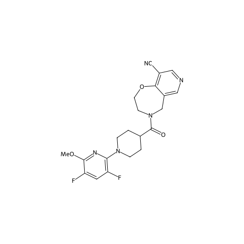 COc1nc(N2CCC(C(=O)N3CCOc4c(C#N)cncc4C3)CC2)c(F)cc1F